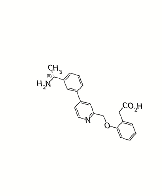 C[C@@H](N)c1cccc(-c2ccnc(COc3ccccc3CC(=O)O)c2)c1